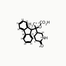 CC(OC(=O)O)(C1CCC(=O)NC1)C1c2ccccc2-c2ccccc21